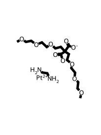 COCCOCCOCCC(CCOCCOCCOC)(C(=O)[O-])C(=O)[O-].NCCN.[Pt+2]